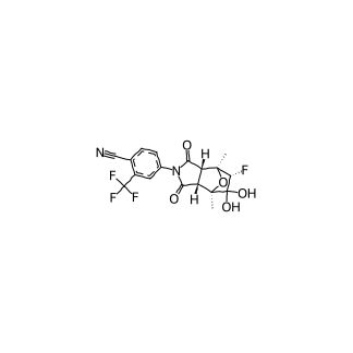 C[C@]12O[C@](C)([C@@H]3C(=O)N(c4ccc(C#N)c(C(F)(F)F)c4)C(=O)[C@@H]31)C(O)(O)[C@H]2F